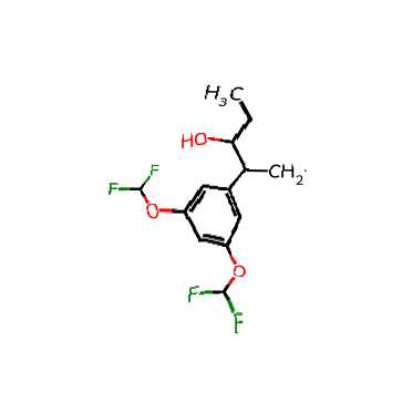 [CH2]C(c1cc(OC(F)F)cc(OC(F)F)c1)C(O)CC